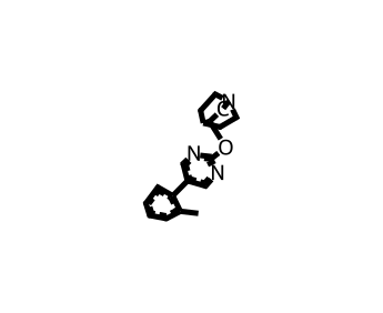 Cc1ccccc1-c1cnc(OC2CN3CCC2CC3)nc1